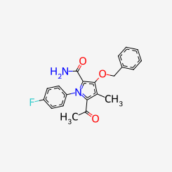 CC(=O)c1c(C)c(OCc2ccccc2)c(C(N)=O)n1-c1ccc(F)cc1